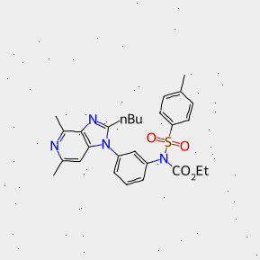 CCCCc1nc2c(C)nc(C)cc2n1-c1cccc(N(C(=O)OCC)S(=O)(=O)c2ccc(C)cc2)c1